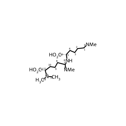 CNCCCC[C@H](NC(CCC[C@@H](C(=O)O)N(C)C)NC)C(=O)O